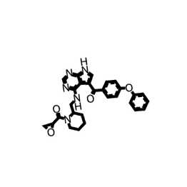 O=C(c1ccc(Oc2ccccc2)cc1)c1c[nH]c2ncnc(NCC3CCCCN3C(=O)C3CO3)c12